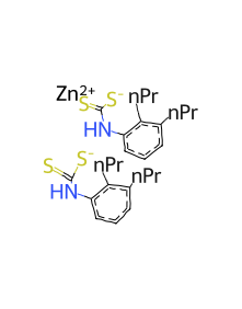 CCCc1cccc(NC(=S)[S-])c1CCC.CCCc1cccc(NC(=S)[S-])c1CCC.[Zn+2]